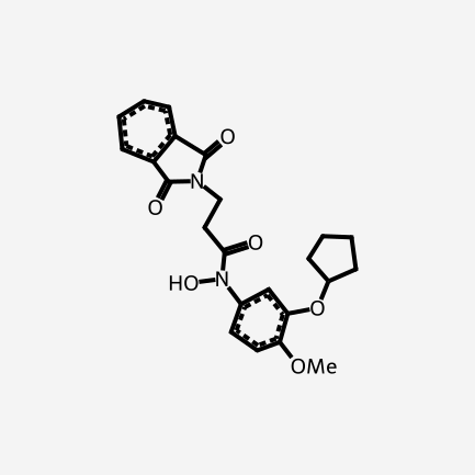 COc1ccc(N(O)C(=O)CCN2C(=O)c3ccccc3C2=O)cc1OC1CCCC1